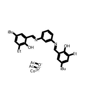 CC(=O)[O-].CC(=O)[O-].CCc1cc(C(C)CC)cc(C=Nc2cccc(N=Cc3cc(C(C)CC)cc(CC)c3O)c2)c1O.[Co+2]